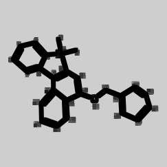 C[Si]1(C)c2ccccc2-c2c1cc(OCc1ccccc1)c1ccccc21